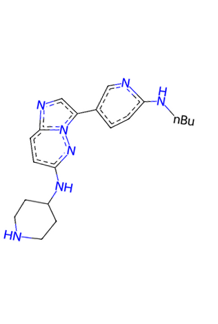 CCCCNc1ccc(-c2cnc3ccc(NC4CCNCC4)nn23)cn1